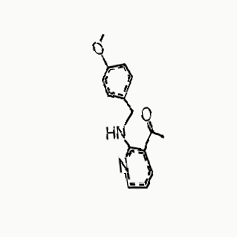 COc1ccc(CNc2ncccc2C(C)=O)cc1